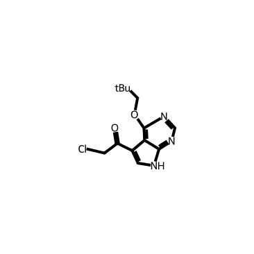 CC(C)(C)COc1ncnc2[nH]cc(C(=O)CCl)c12